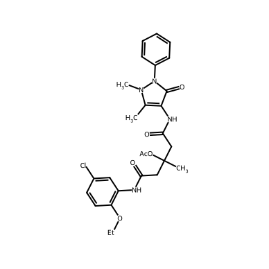 CCOc1ccc(Cl)cc1NC(=O)CC(C)(CC(=O)Nc1c(C)n(C)n(-c2ccccc2)c1=O)OC(C)=O